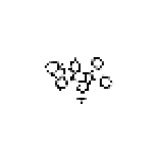 Cc1cc2c3c(c1)-n1c(-c4ccccc4)c(-c4ccccc4)c4cc(C(C)(C)C)cc(c41)B3c1cccc3c1N2C1(C)CCCCC31C